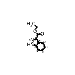 CCOC(=O)c1n[nH]c2cc[c]cc12